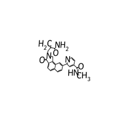 C=C(CN1Cc2c(ccc3ccc(-c4cc(C(=O)NC)ccn4)cc23)C1=O)C(N)=O